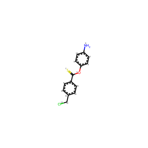 Nc1ccc(OC(=S)c2ccc(CCl)cc2)cc1